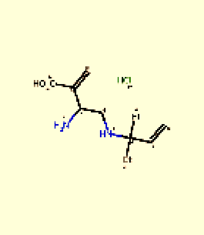 C=CC(CC)(CC)NCC(N)C(=C)C(=O)O.Cl